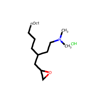 CCCCCCCCCCCC(CCN(C)C)CC1CO1.Cl